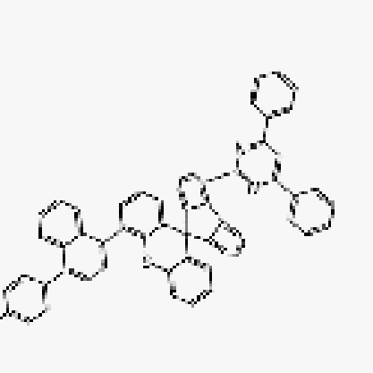 N#Cc1ccc(-c2ccc(-c3cccc4c3Sc3ccccc3C43c4ccccc4-c4c(-c5nc(-c6ccccc6)cc(-c6ccccc6)n5)cccc43)c3ccccc23)cc1